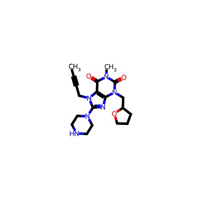 CC#CCn1c(N2CCNCC2)nc2c1c(=O)n(C)c(=O)n2CC1CCCO1